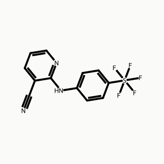 N#Cc1cccnc1Nc1ccc(S(F)(F)(F)(F)F)cc1